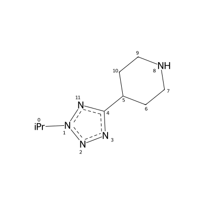 CC(C)n1nnc(C2CCNCC2)n1